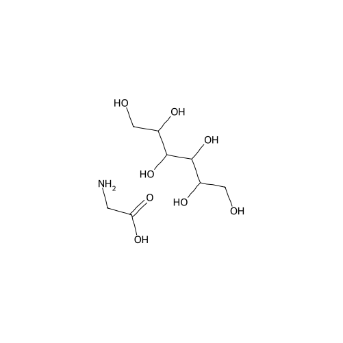 NCC(=O)O.OCC(O)C(O)C(O)C(O)CO